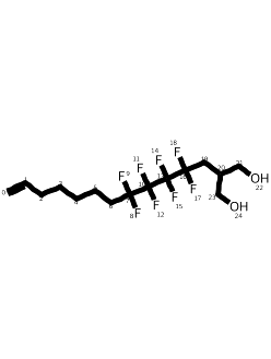 C=CCCCCCC(F)(F)C(F)(F)C(F)(F)C(F)(F)CC(CO)CO